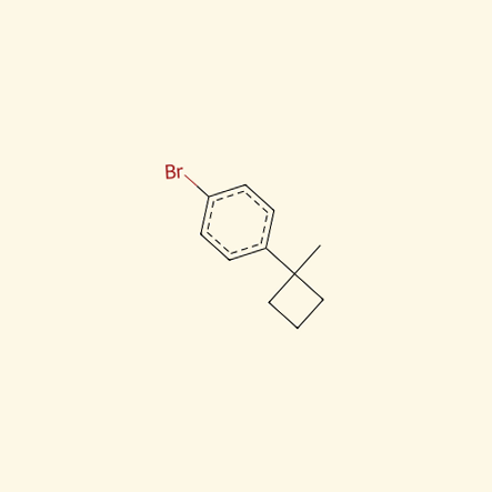 CC1(c2ccc(Br)cc2)CCC1